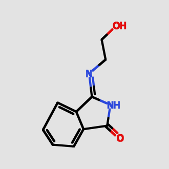 O=C1NC(=NCCO)c2ccccc21